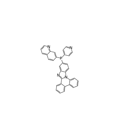 c1cnc2cc(P(c3ccncc3)c3ccc4c(c3)nc3c5ccccc5c5ccccc5n43)ccc2c1